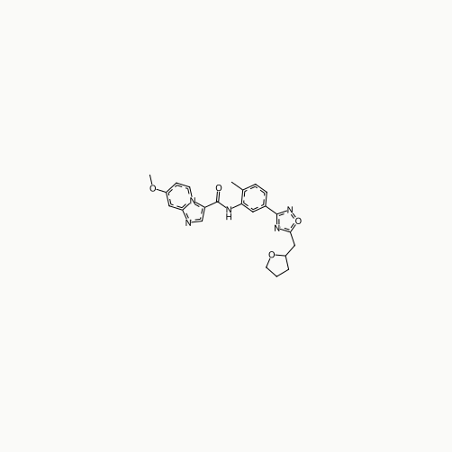 COc1ccn2c(C(=O)Nc3cc(-c4noc(CC5CCCO5)n4)ccc3C)cnc2c1